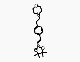 CC1(C)OB(C=Cc2ccc(CCN3CCOCC3)cc2)OC1(C)C